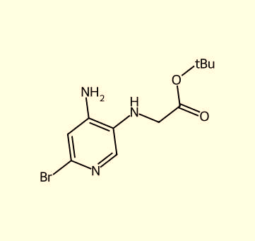 CC(C)(C)OC(=O)CNc1cnc(Br)cc1N